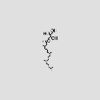 CC(C)CCCC(C)CCCC(C)CCCC(C)CC(=O)OCC(O)C(O)CO